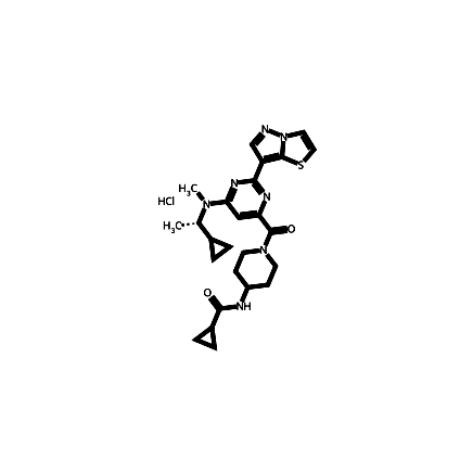 C[C@@H](C1CC1)N(C)c1cc(C(=O)N2CCC(NC(=O)C3CC3)CC2)nc(-c2cnn3ccsc23)n1.Cl